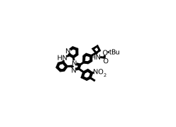 Cc1ccc(-c2nc3n(c2-c2ccc(C4(NC(=O)OC(C)(C)C)CCC4)cc2)-c2cccnc2Nc2ccccc2-3)cc1[N+](=O)[O-]